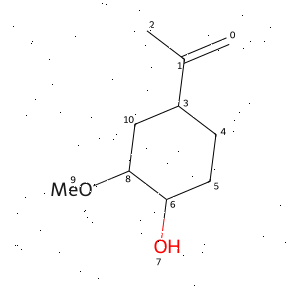 C=C(C)C1CCC(O)C(OC)C1